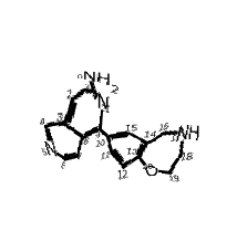 Nc1cc2cnccc2c(-c2ccc3c(c2)CNCCO3)n1